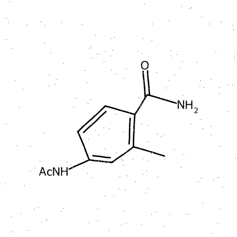 CC(=O)Nc1ccc(C(N)=O)c(C)c1